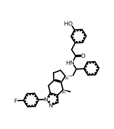 C[C@@H]1C2=C(CC[C@@H]2CC(NC(=O)Cc2cccc(O)c2)c2ccccc2)Cc2c1cnn2-c1ccc(F)cc1